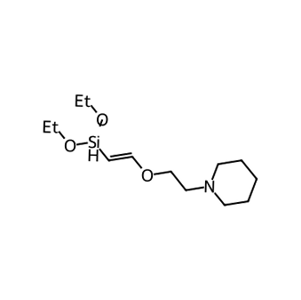 CCO[SiH](C=COCCN1CCCCC1)OCC